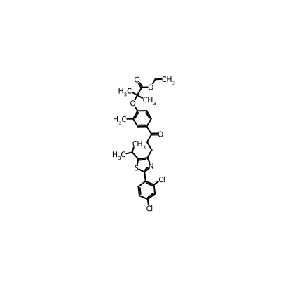 CCOC(=O)C(C)(C)Oc1ccc(C(=O)CCc2nc(-c3ccc(Cl)cc3Cl)sc2C(C)C)cc1C